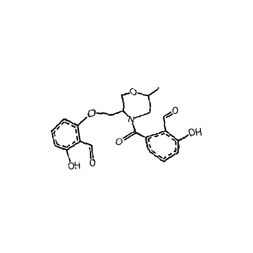 CC1CN(C(=O)c2cccc(O)c2C=O)C(COc2cccc(O)c2C=O)CO1